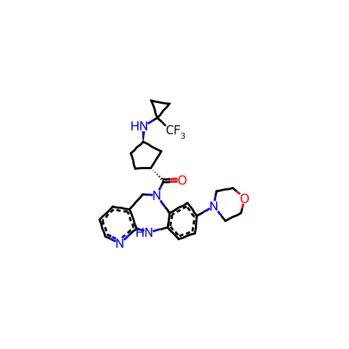 O=C([C@@H]1CC[C@@H](NC2(C(F)(F)F)CC2)C1)N1Cc2cccnc2Nc2ccc(N3CCOCC3)cc21